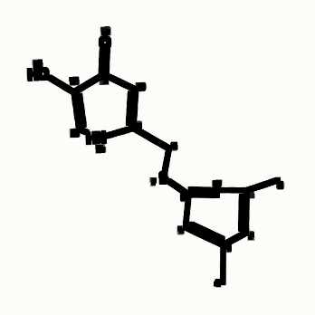 Cc1cc(C)cc(SCc2cc(=O)c(O)c[nH]2)c1